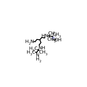 C/C(=N\O)C(C)(C)NCCC(CCN)CCNC(C)(C)C(C)N